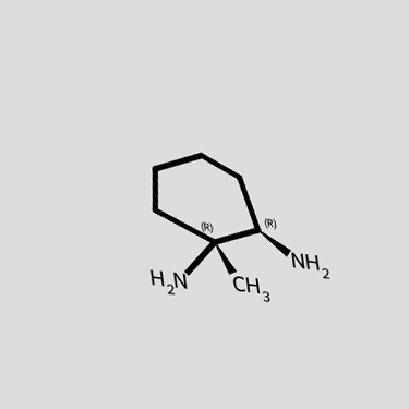 C[C@@]1(N)CCCC[C@H]1N